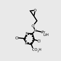 CC(C)N(OCC1CO1)c1nc(Cl)nc(C(=O)O)c1Cl.[LiH]